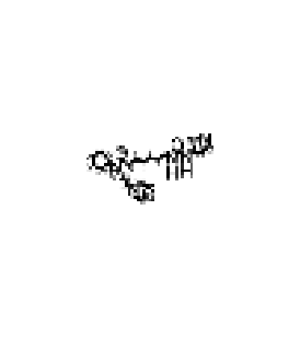 O=C(NCCCCCCC(=O)N(OCCN1CCOCC1)C1CCCCC1)Nc1ccncn1